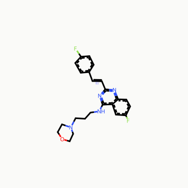 Fc1ccc(/C=C/c2nc(NCCCN3CCOCC3)c3cc(F)ccc3n2)cc1